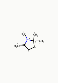 C=C1CCC(C)(C)N1C